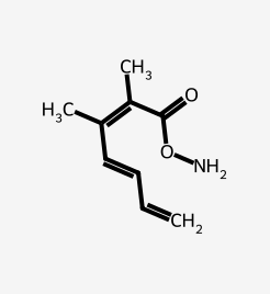 C=CC=CC(C)=C(C)C(=O)ON